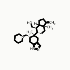 C=C1CC[C@H]2[C@H](CO)[C@@H]([C@@]3(C)Cc4cn[nH]c4C[C@@H]3CN3CCCCC3)CC[C@]12C